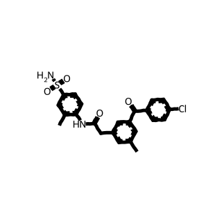 Cc1cc(CC(=O)Nc2ccc(S(N)(=O)=O)cc2C)cc(C(=O)c2ccc(Cl)cc2)c1